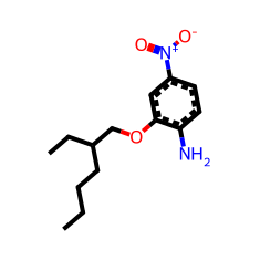 CCCCC(CC)COc1cc([N+](=O)[O-])ccc1N